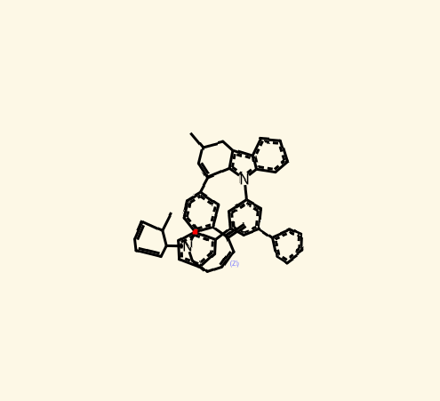 C=C1/C=C\CCN(C2C=CC=CC2C)c2ccc(C3=CC(C)Cc4c3n(-c3cc(-c5ccccc5)cc(-c5ccccc5)c3)c3ccccc43)cc21